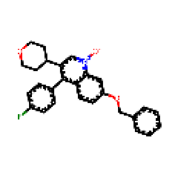 [O-][n+]1cc(C2CCOCC2)c(-c2ccc(F)cc2)c2ccc(OCc3ccccc3)cc21